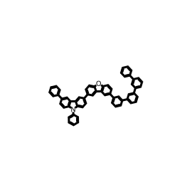 c1ccc(-c2cccc(-c3cccc(-c4cccc(-c5ccc6oc7ccc(-c8ccc9c(c8)c8cc(-c%10ccccc%10)ccc8n9-c8ccccc8)cc7c6c5)c4)c3)c2)cc1